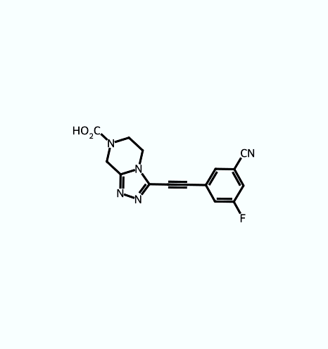 N#Cc1cc(F)cc(C#Cc2nnc3n2CCN(C(=O)O)C3)c1